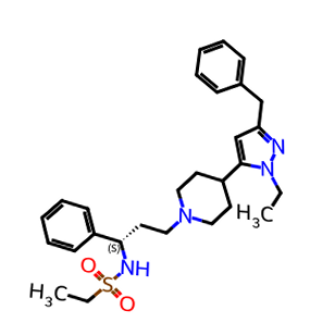 CCn1nc(Cc2ccccc2)cc1C1CCN(CC[C@H](NS(=O)(=O)CC)c2ccccc2)CC1